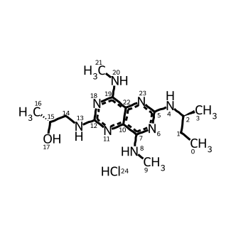 CC[C@H](C)Nc1nc(NC)c2nc(NC[C@@H](C)O)nc(NC)c2n1.Cl